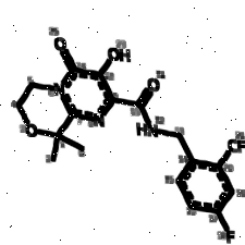 CC1(C)OCCn2c1nc(C(=O)NCc1ccc(F)cc1C(F)(F)F)c(O)c2=O